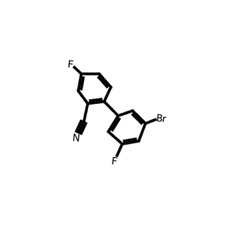 N#Cc1cc(F)ccc1-c1cc(F)cc(Br)c1